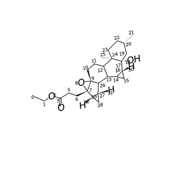 CCOC(=O)CC[C@@]12O[C@@]13CCC1C(C4C[C@H]4[C@]4(O)C[C@@H](C)CC[C@]14C)C3[C@@H]1C[C@@H]12